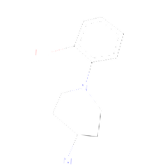 NC1CCN(c2ccccc2O)CC1